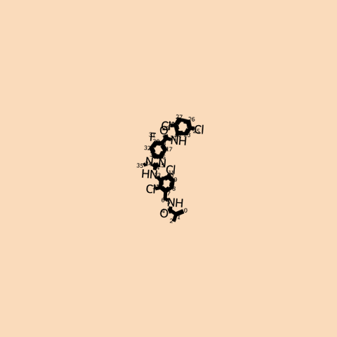 C=C(C)C(=O)NCc1ccc(Cl)c(Nc2nc3cc(C(=O)Nc4cc(Cl)ccc4Cl)c(F)cc3n2C)c1Cl